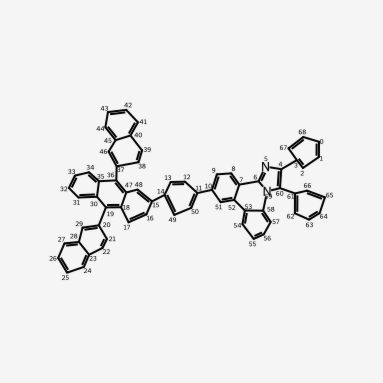 c1ccc(-c2nc3c4ccc(-c5ccc(-c6ccc7c(-c8ccc9ccccc9c8)c8ccccc8c(-c8ccc9ccccc9c8)c7c6)cc5)cc4c4ccccc4n3c2-c2ccccc2)cc1